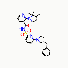 CC1CCN(c2ncccc2C(=O)NS(=O)(=O)c2cccc(N3CCC(Cc4ccccc4)C3)n2)C1(C)C